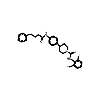 O=C(CCCc1ccccc1)Nc1ccc(C2CCN(C(=O)Nc3c(Cl)cccc3Cl)CC2)cc1